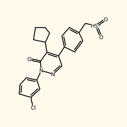 O=c1c(C2CCCC2)c(-c2ccc(C[SH](=O)=O)cc2)cnn1-c1cccc(Cl)c1